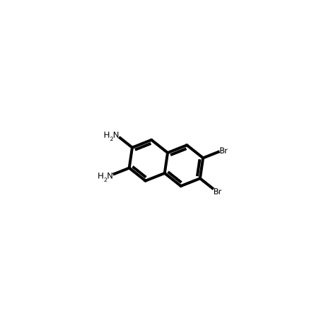 Nc1cc2cc(Br)c(Br)cc2cc1N